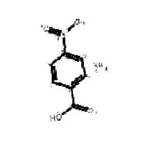 N.O=C(O)c1ccc([N+](=O)[O-])cc1